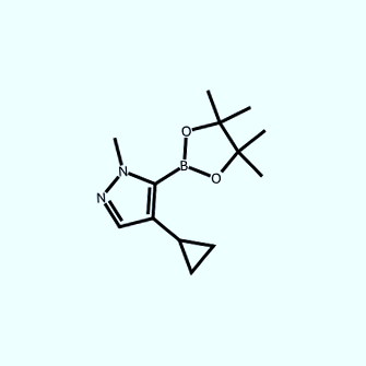 Cn1ncc(C2CC2)c1B1OC(C)(C)C(C)(C)O1